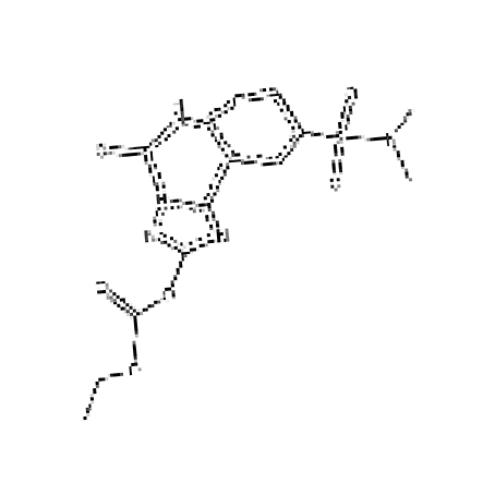 CCOC(=O)Oc1nc2c3cc(S(=O)(=O)N(C)C)ccc3[nH]c(=O)n2n1